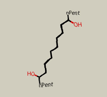 CCCCCC(O)CCCCCCCCC(O)CCCCC